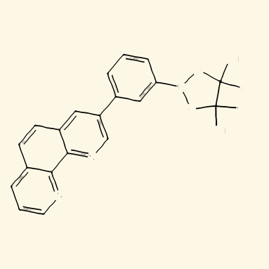 CC1(C)OB(c2cccc(-c3cnc4c(ccc5cccnc54)c3)c2)OC1(C)C